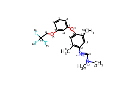 Cc1cc(Oc2cccc(OCC(F)(F)F)c2)c(C)cc1/N=C/N(C)C